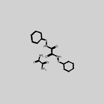 NC(=O)C(N)=O.O=C(NSC1CCCCC1)C(=O)NSC1CCCCC1